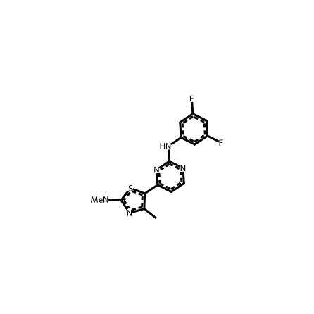 CNc1nc(C)c(-c2ccnc(Nc3cc(F)cc(F)c3)n2)s1